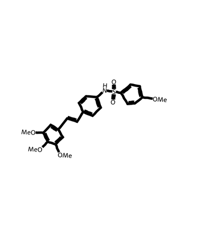 COc1ccc(S(=O)(=O)Nc2ccc(C=Cc3cc(OC)c(OC)c(OC)c3)cc2)cc1